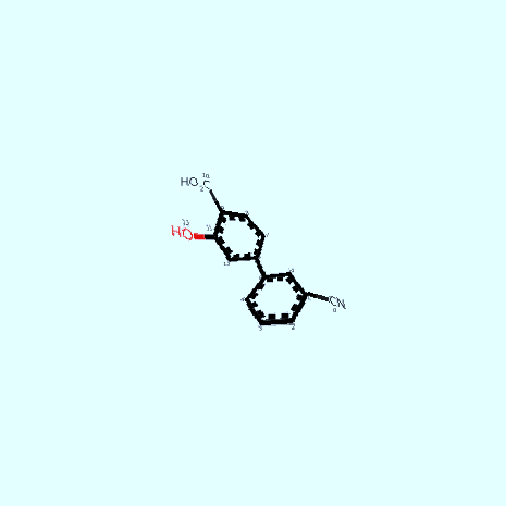 N#Cc1cccc(-c2ccc(C(=O)O)c(O)c2)c1